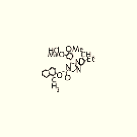 CCc1cc2nc3c(n2cc1C)C(c1ccc(OC)c(OC)c1)=NC(C(=O)COc1ccc2ccccc2c1C)C3.Cl